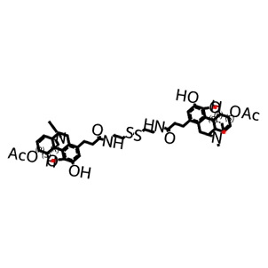 CC(=O)O[C@H]1C=CC2C3Cc4c(CCC(=O)NCCSSCCNC(=O)CCc5cc(O)c6c7c5CC5C8C=C[C@@H](OC(C)=O)[C@@H](O6)[C@@]78CCN5C)cc(O)c5c4[C@@]2(CCN3C)[C@H]1O5